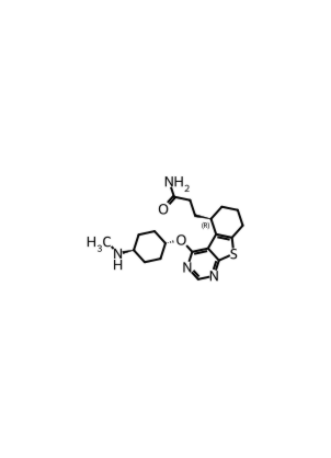 CN[C@H]1CC[C@H](Oc2ncnc3sc4c(c23)[C@@H](CCC(N)=O)CCC4)CC1